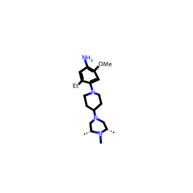 CCc1cc(N)c(OC)cc1N1CCC(N2C[C@@H](C)N(C)[C@@H](C)C2)CC1